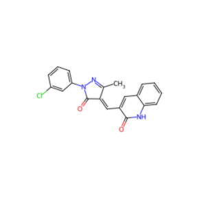 CC1=NN(c2cccc(Cl)c2)C(=O)C1=Cc1cc2ccccc2[nH]c1=O